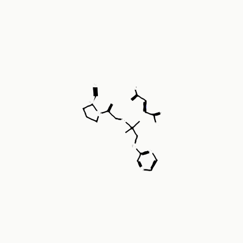 CC(C)(CNc1cnccn1)NCC(=O)N1CCC[C@H]1C#N.O=C(O)/C=C/C(=O)O